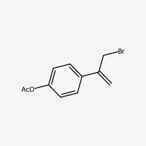 C=C(CBr)c1ccc(OC(C)=O)cc1